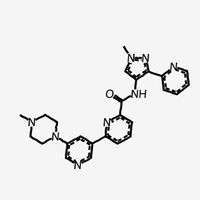 CN1CCN(c2cncc(-c3cccc(C(=O)Nc4cn(C)nc4-c4ccccn4)n3)c2)CC1